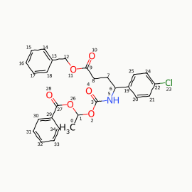 CC(OC(=O)NC(CCC(=O)OCc1ccccc1)c1ccc(Cl)cc1)OC(=O)c1ccccc1